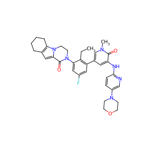 CCc1c(-c2cc(Nc3ccc(N4CCOCC4)cn3)c(=O)n(C)c2)cc(F)cc1N1CCn2c(cc3c2CCCC3)C1=O